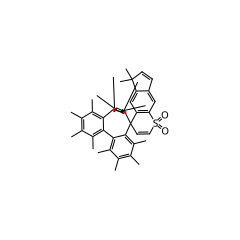 Cc1c(C)c(C)c2c(c1C)-c1c(C)c(C)c(C)c(C)c1C1(C=CS(=O)(=O)c3cc4c(cc31)C(C)(C)C=C4)c1c(C)c(C)c(C)c(C)c1-2